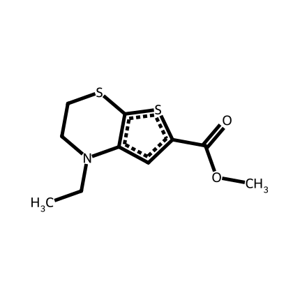 CCN1CCSc2sc(C(=O)OC)cc21